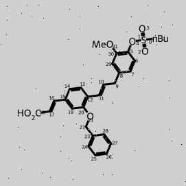 CCCCS(=O)(=O)Oc1ccc(C/C=C/c2ccc(/C=C/C(=O)O)cc2OCc2ccccc2)cc1OC